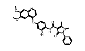 [2H]c1cc(Oc2ccnc3cc(OC)c(OC)cc23)ccc1NC(=O)c1c(C)n(C)n(-c2ccccc2)c1=O